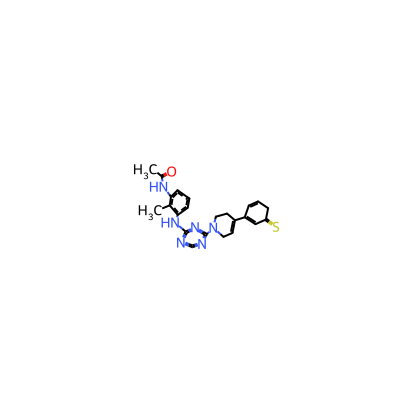 CC(=O)Nc1cccc(Nc2ncnc(N3CC=C(C4=CC(=S)CC=C4)CC3)n2)c1C